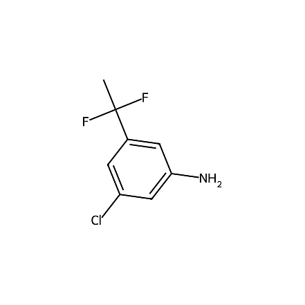 CC(F)(F)c1cc(N)cc(Cl)c1